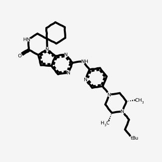 C[C@@H]1CN(c2ccc(Nc3ncc4cc5n(c4n3)C3(CCCCC3)CNC5=O)nc2)C[C@H](C)N1CCC(C)(C)C